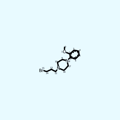 COc1ccccc1N1CCN(CCCBr)CC1